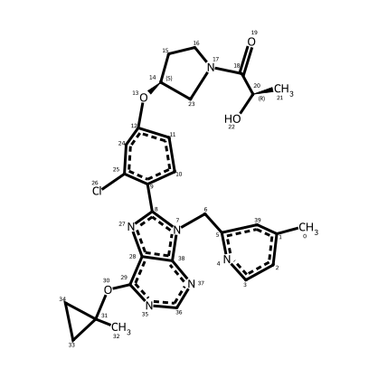 Cc1ccnc(Cn2c(-c3ccc(O[C@H]4CCN(C(=O)[C@@H](C)O)C4)cc3Cl)nc3c(OC4(C)CC4)ncnc32)c1